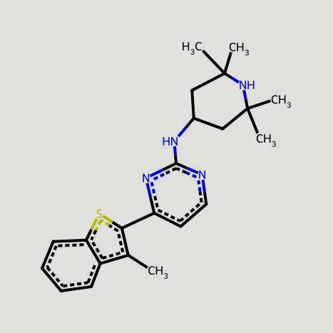 Cc1c(-c2ccnc(NC3CC(C)(C)NC(C)(C)C3)n2)sc2ccccc12